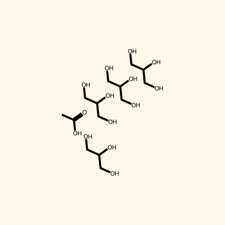 CC(=O)O.OCC(O)CO.OCC(O)CO.OCC(O)CO.OCC(O)CO